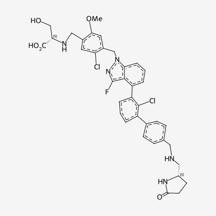 COc1cc(Cn2nc(F)c3c(-c4cccc(-c5ccc(CNC[C@@H]6CCC(=O)N6)cc5)c4Cl)cccc32)c(Cl)cc1CN[C@@H](CO)C(=O)O